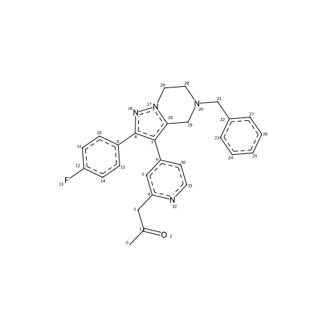 CC(=O)Cc1cc(-c2c(-c3ccc(F)cc3)nn3c2CN(Cc2ccccc2)CC3)ccn1